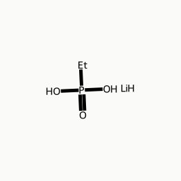 CCP(=O)(O)O.[LiH]